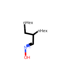 CCCCCCCC(/C=N/O)CCCCCC